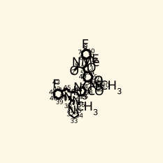 CNC(=O)c1c(-c2ccc(F)cc2F)oc2cc(N(C)S(C)(=O)=O)c(-c3ccc4nc(CN5CCC[C@H]5C)n5c6cccc(F)c6cc5c4n3)cc12